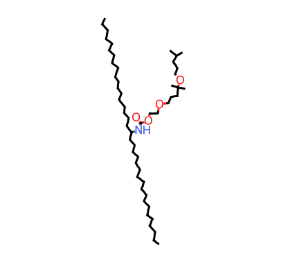 CCCCCCCCCCCCCCCCCCC(CCCCCCCCCCCCCCCCCC)NC(=O)OCCOCCCC(C)(C)OCCCC(C)C